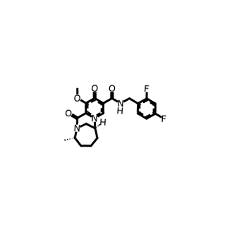 COc1c2n(cc(C(=O)NCc3ccc(F)cc3F)c1=O)[C@H]1CCC[C@H](C)N(C1)C2=O